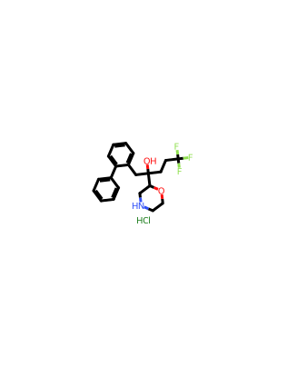 Cl.OC(CCC(F)(F)F)(Cc1ccccc1-c1ccccc1)C1CNCCO1